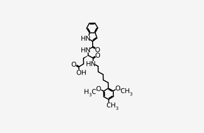 COc1cc(C)cc(OC)c1CCCCCNC(=O)[C@@H](CCC(=O)O)NC(=O)c1cc2ccccc2[nH]1